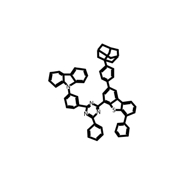 c1ccc(-c2nc(-c3cccc(-n4c5ccccc5c5ccccc54)c3)nc(-c3cc(-c4ccc(C56CC7CC(CC(C7)C5)C6)cc4)cc4c3sc3c(-c5ccccc5)cccc34)n2)cc1